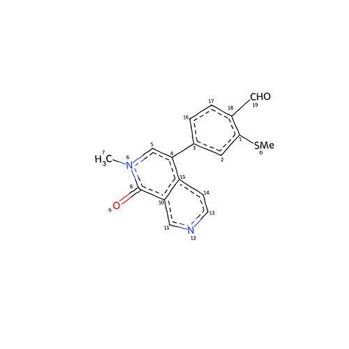 CSc1cc(-c2cn(C)c(=O)c3cnccc23)ccc1C=O